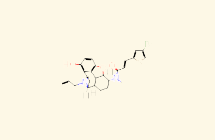 C=CCN1CC[C@@]23c4c5ccc(O)c4C[C@@H]1[C@@H]2CC[C@H](N(C)C(=O)/C=C/c1cc(Br)cs1)[C@@H]3O5